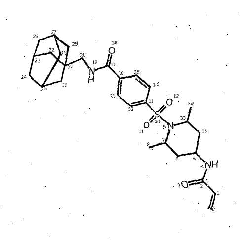 C=CC(=O)NC1CC(C)N(S(=O)(=O)c2ccc(C(=O)NCC34CC5CC(CC(C5)C3)C4)cc2)C(C)C1